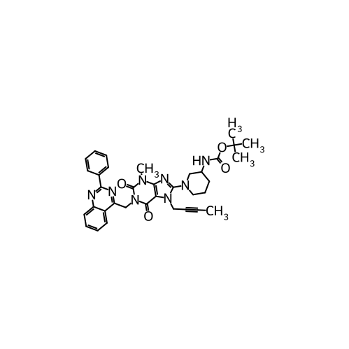 CC#CCn1c(N2CCCC(NC(=O)OC(C)(C)C)C2)nc2c1c(=O)n(Cc1nc(-c3ccccc3)nc3ccccc13)c(=O)n2C